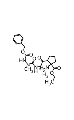 CCOC(=O)C1(N)CCCC1C(=O)[C@H](C)NC(=O)[C@H](C)NC(=O)OCc1ccccc1